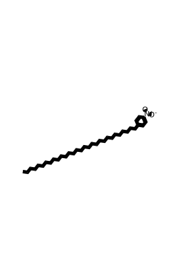 CCCCCCCCCCCCCCCCCCCCCCCCCCCCCCc1ccc([N+](=O)[O-])cc1